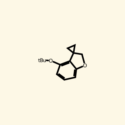 CC(C)(C)Oc1cccc2c1C1(CC1)CO2